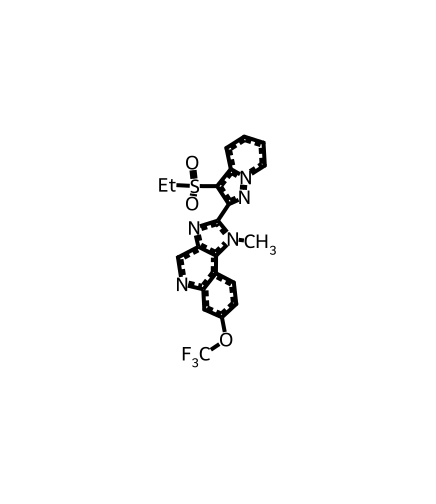 CCS(=O)(=O)c1c(-c2nc3cnc4cc(OC(F)(F)F)ccc4c3n2C)nn2ccccc12